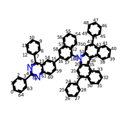 c1ccc(-c2nc(-c3ccccc3)c3cc(-c4cc(-n5c6cc(-c7ccccc7)c7ccccc7c6c6c7ccccc7c(-c7ccccc7)cc65)c5ccccc5c4)ccc3n2)cc1